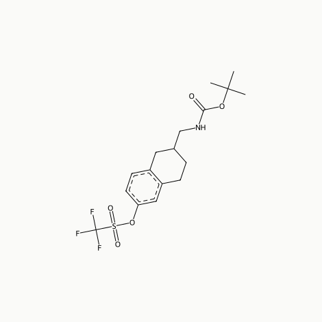 CC(C)(C)OC(=O)NCC1CCc2cc(OS(=O)(=O)C(F)(F)F)ccc2C1